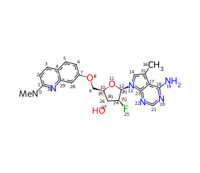 CNc1ccc2ccc(OC[C@H]3O[C@@H](n4cc(C)c5c(N)ncnc54)[C@@H](F)[C@@H]3O)cc2n1